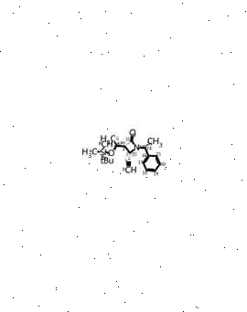 C#C[C@@H]1[C@H]([C@H](C)O[Si](C)(C)C(C)(C)C)C(=O)N1[C@H](C)c1ccccc1